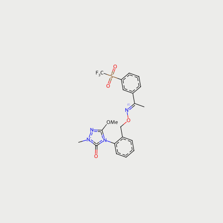 COc1nn(C)c(=O)n1-c1ccccc1CO/N=C(\C)c1cccc(S(=O)(=O)C(F)(F)F)c1